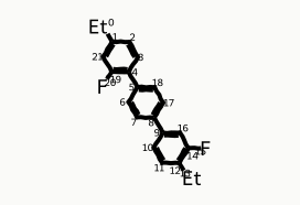 CCc1ccc(-c2ccc(-c3ccc(CC)c(F)c3)cc2)c(F)c1